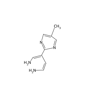 Cc1cnc(C(/C=C\N)=C/N)nc1